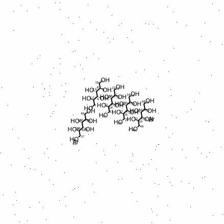 OC[C@@H](O)[C@@H](O)[C@H](O)[C@H](O)CO.OC[C@@H](O)[C@@H](O)[C@H](O)[C@H](O)CO.OC[C@@H](O)[C@@H](O)[C@H](O)[C@H](O)CO.OC[C@@H](O)[C@@H](O)[C@H](O)[C@H](O)CO.OC[C@@H](O)[C@@H](O)[C@H](O)[C@H](O)CO.[Ar].[Ar]